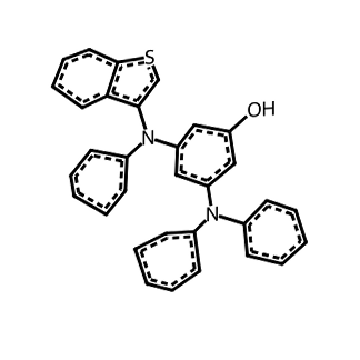 Oc1cc(N(c2ccccc2)c2ccccc2)cc(N(c2ccccc2)c2csc3ccccc23)c1